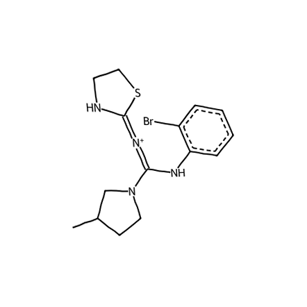 CC1CCN(C(=[N+]=C2NCCS2)Nc2ccccc2Br)C1